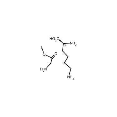 NCC(=O)OI.NCCCC[C@H](N)C(=O)O